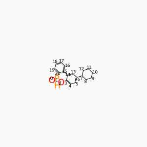 O=[PH]1Oc2ccc(C3CCCCC3)cc2-c2ccccc21